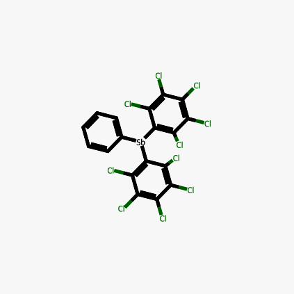 Clc1c(Cl)c(Cl)[c]([Sb]([c]2ccccc2)[c]2c(Cl)c(Cl)c(Cl)c(Cl)c2Cl)c(Cl)c1Cl